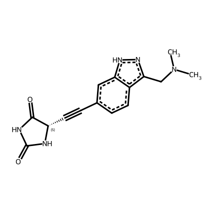 CN(C)Cc1n[nH]c2cc(C#C[C@@H]3NC(=O)NC3=O)ccc12